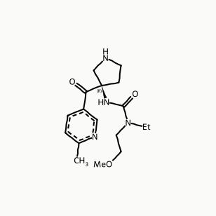 CCN(CCOC)C(=O)N[C@]1(C(=O)c2ccc(C)nc2)CCNC1